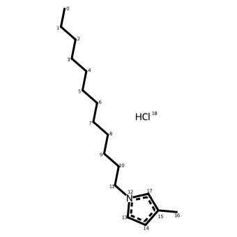 CCCCCCCCCCCCn1ccc(C)c1.Cl